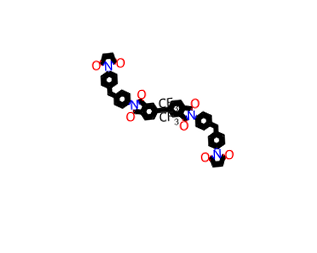 O=C1C=CC(=O)N1c1ccc(Cc2ccc(N3C(=O)c4ccc(C(c5ccc6c(c5)C(=O)N(c5ccc(Cc7ccc(N8C(=O)C=CC8=O)cc7)cc5)C6=O)(C(F)(F)F)C(F)(F)F)cc4C3=O)cc2)cc1